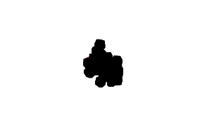 CC(C)(c1c(-c2ccccc2C(F)(F)F)c(Cn2c3ccccc3c3c4oc5ccccc5c4ccc32)c(C(C)(C)n2c3ccccc3c3ccccc32)c(-n2c3ccccc3c3c4oc5ccccc5c4ccc32)c1-c1ccccc1C(F)(F)F)n1c2ccccc2c2ccccc21